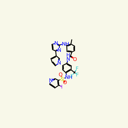 Cc1ccc(C(=O)Nc2ccc(NS(=O)(=O)c3cnccc3I)c(C(F)(F)F)c2)cc1Nc1nccc(-c2cccnc2)n1